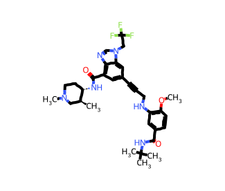 COc1ccc(C(=O)NC(C)(C)C)cc1NCC#Cc1cc(C(=O)N[C@H]2CCN(C)C[C@@H]2C)c2ncn(CC(F)(F)F)c2c1